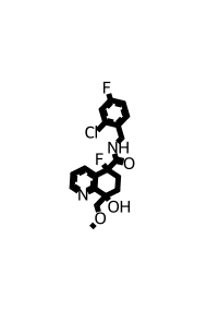 COCC1(O)CCC(F)(C(=O)NCc2ccc(F)cc2Cl)c2cccnc21